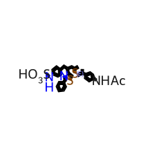 C=C(CC(Cc1ccc(NS(=O)(=O)O)cc1)c1csc(-c2ccccc2)n1)S/C=C(\C)c1ccc(NC(C)=O)cc1